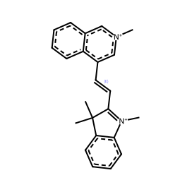 C[N+]1=C(/C=C/c2c[n+](C)cc3ccccc23)C(C)(C)c2ccccc21